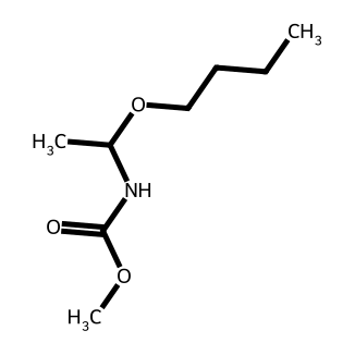 CCCCOC(C)NC(=O)OC